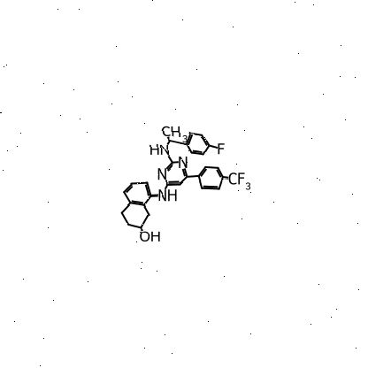 C[C@H](Nc1nc(Nc2cccc3c2C[C@@H](O)CC3)cc(-c2ccc(C(F)(F)F)cc2)n1)c1ccc(F)cc1